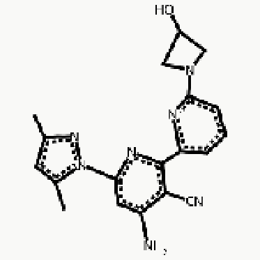 Cc1cc(C)n(-c2cc(N)c(C#N)c(-c3cccc(N4CC(O)C4)n3)n2)n1